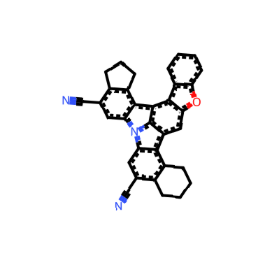 N#Cc1cc2c(c3c1CCCC3)c1cc3oc4ccccc4c3c3c4c5c(c(C#N)cc4n2c13)CCC5